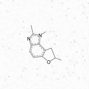 Cc1nc2ccc3c(c2n1C)CC(C)O3